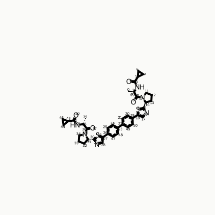 C[C@@H](NC(=O)C1CC1)C(=O)N1CCC[C@H]1c1ncc(-c2ccc(-c3ccc(-c4cnc([C@@H]5CCCN5C(=O)[C@@H](C)NC(=O)C5CC5)s4)cc3)cc2)s1